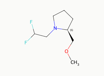 COC[C@@H]1CCCN1CC(F)F